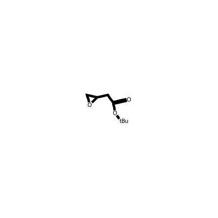 CC(C)(C)OC(=O)CC1CO1